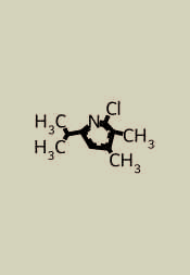 Cc1cc(C(C)C)nc(Cl)c1C